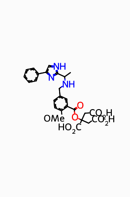 COc1ccc(CNC(C)c2nc(-c3ccccc3)c[nH]2)cc1C(=O)OC(CC(=O)O)(CC(=O)O)C(=O)O